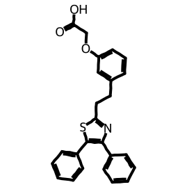 O=C(O)COc1cccc(CCc2nc(-c3ccccc3)c(-c3ccccc3)s2)c1